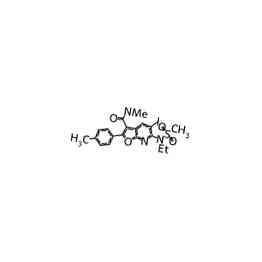 CCN(c1nc2oc(-c3ccc(C)cc3)c(C(=O)NC)c2cc1I)S(C)(=O)=O